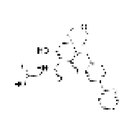 O=C(O)CNC(=O)C1=C(O)CC2(CCOCC2)N(Cc2ccc(-c3ccccn3)cc2)C1=O